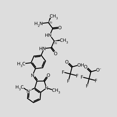 Cc1cc(NC(=O)[C@H](C)NC(=O)[C@H](C)N)ccc1N=C1C(=O)N(C)c2ccc[n+](C)c21.O=C(O)C(F)(F)F.O=C([O-])C(F)(F)F